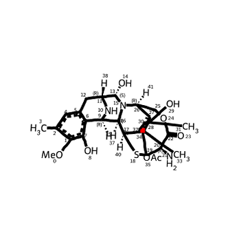 COc1c(C)cc2c(c1O)[C@H]1N[C@H](C2)[C@H](O)N2[C@H]1[C@@H]1SC[C@H](N)C(=O)OC[C@H]2c2c(O)c(C)c(C)c(OC(C)=O)c21